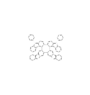 c1ccc(-n2c3ccccc3c3c4c(ccc32)-c2ccc3c(c2-c2cc5c(cc2-c2cc6oc7ccccc7c6cc2-4)oc2ccccc25)c2ccccc2n3-c2ccccc2)cc1